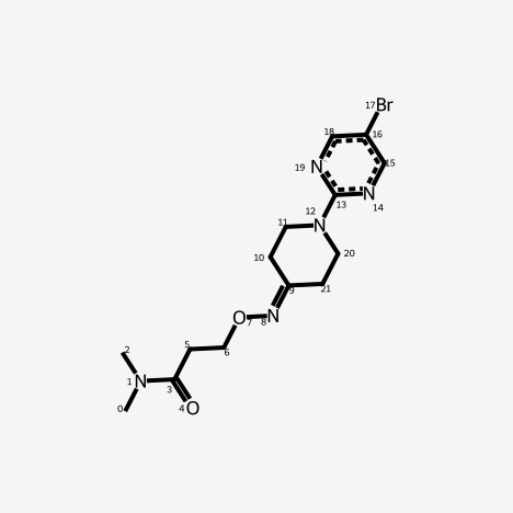 CN(C)C(=O)CCON=C1CCN(c2ncc(Br)cn2)CC1